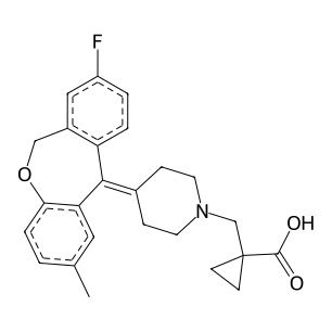 Cc1ccc2c(c1)C(=C1CCN(CC3(C(=O)O)CC3)CC1)c1ccc(F)cc1CO2